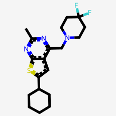 Cc1nc(CN2CCC(F)(F)CC2)c2cc(C3CCCCC3)sc2n1